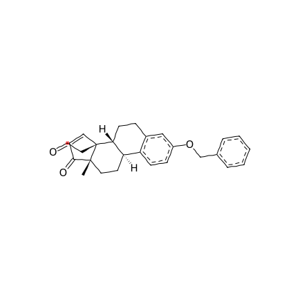 C[C@]12CC[C@@H]3c4ccc(OCc5ccccc5)cc4CC[C@H]3[C@@]1(CC=O)C=CC2=O